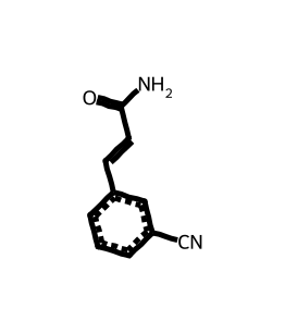 N#Cc1cccc(C=CC(N)=O)c1